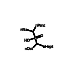 CCCCCCCCC(CCCCCCC)P(=O)(O)C(CCCC)CCCCC